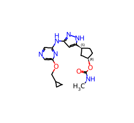 CNC(=O)O[C@@H]1CC[C@H](c2cc(Nc3cncc(OCC4CC4)n3)n[nH]2)C1